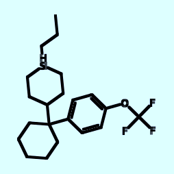 CCC[SiH]1CCC(C2(c3ccc(OC(F)(F)F)cc3)CCCCC2)CC1